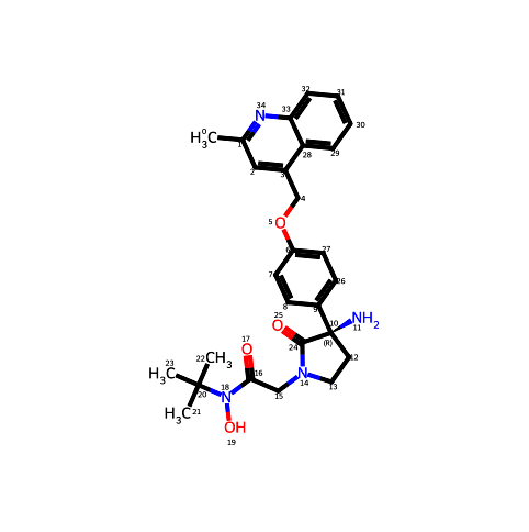 Cc1cc(COc2ccc([C@]3(N)CCN(CC(=O)N(O)C(C)(C)C)C3=O)cc2)c2ccccc2n1